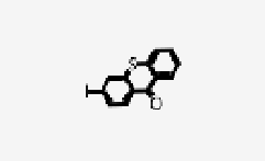 O=c1c2ccccc2sc2cc(I)ccc12